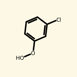 OOc1cccc(Cl)c1